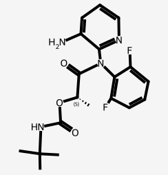 C[C@H](OC(=O)NC(C)(C)C)C(=O)N(c1ncccc1N)c1c(F)cccc1F